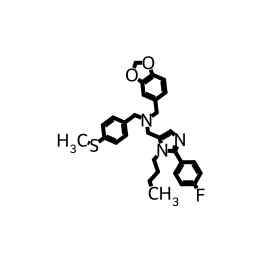 CCCCn1c(CN(Cc2ccc(SC)cc2)Cc2ccc3c(c2)OCO3)cnc1-c1ccc(F)cc1